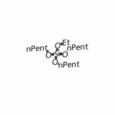 CCCCCO[Si](OCC)(OCCCCC)OCCCCC